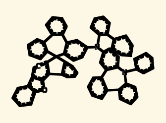 c1ccc(-c2ccccc2N(c2ccc3c(c2)-c2ccccc2-c2ccccc2N3c2ccccc2)c2ccc3c(c2)-c2ccccc2-c2ccccc2C32c3ccccc3-c3c2ccc2c3oc3ccccc32)cc1